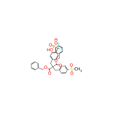 CS(=O)(=O)c1ccc(CC(Cc2ccc(C(F)(F)P(=O)(O)O)cc2)(C(=O)OCc2ccccc2)C(=O)OCc2ccccc2)cc1